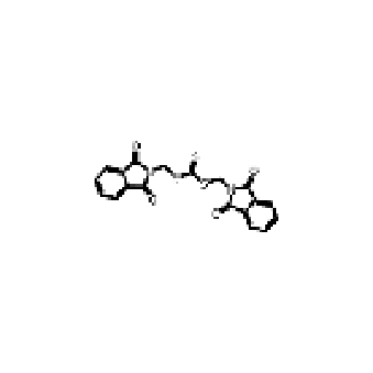 O=C1c2ccccc2C(=O)N1CSC(=S)SCN1C(=O)c2ccccc2C1=O